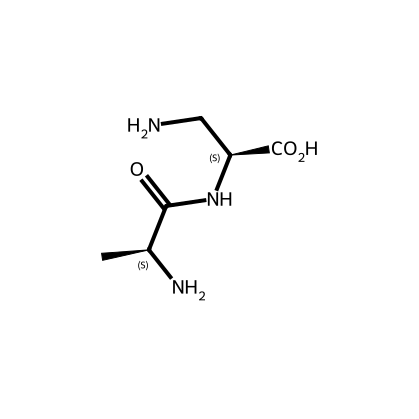 C[C@H](N)C(=O)N[C@@H](CN)C(=O)O